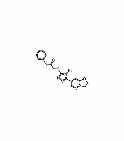 CCn1c(SCC(=O)Nc2ccccc2)nnc1-c1cnc2c(c1)OCC2